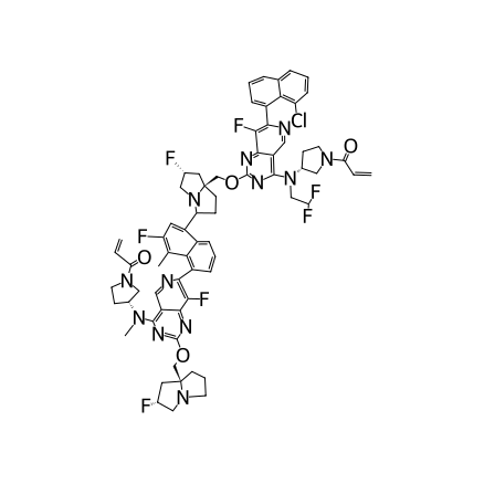 C=CC(=O)N1CC[C@@H](N(C)c2nc(OC[C@@]34CCCN3C[C@H](F)C4)nc3c(F)c(-c4cccc5c(C6CC[C@@]7(COc8nc(N(CC(F)F)[C@@H]9CCN(C(=O)C=C)C9)c9cnc(-c%10cccc%11cccc(Cl)c%10%11)c(F)c9n8)C[C@@H](F)CN67)cc(F)c(C)c45)ncc23)C1